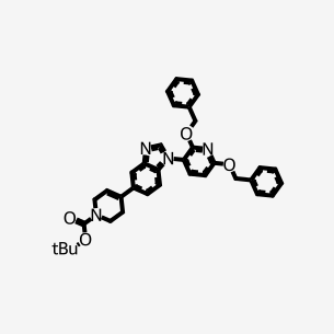 CC(C)(C)OC(=O)N1CC=C(c2ccc3c(c2)ncn3-c2ccc(OCc3ccccc3)nc2OCc2ccccc2)CC1